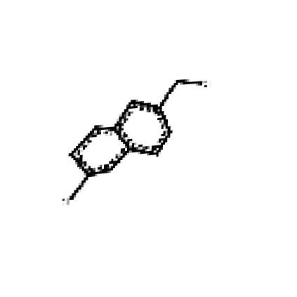 ClCc1ccc2cc(Cl)ccc2c1